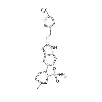 Cc1ccc(-c2ccc3[nH]c(CCc4ccc(C(F)(F)F)cc4)nc3c2)c(S(N)(=O)=O)c1